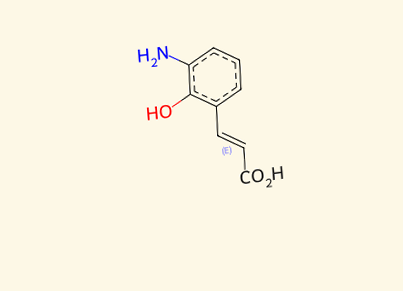 Nc1cccc(/C=C/C(=O)O)c1O